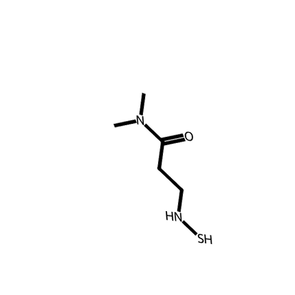 CN(C)C(=O)CCNS